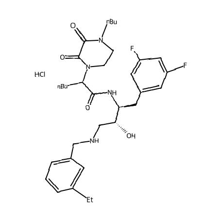 CCCCC(C(=O)N[C@@H](Cc1cc(F)cc(F)c1)[C@H](O)CNCc1cccc(CC)c1)N1CCN(CCCC)C(=O)C1=O.Cl